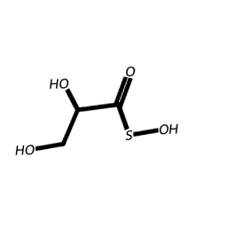 O=C(SO)C(O)CO